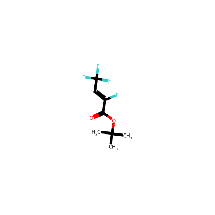 CC(C)(C)OC(=O)/C(F)=C/C(F)(F)F